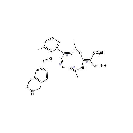 CCOC(=O)/C(C=N)=C1/N/C(C)=C/C=C\C(c2cccc(C)c2OCc2ccc3c(c2)CCNC3)=N\C(C)O1